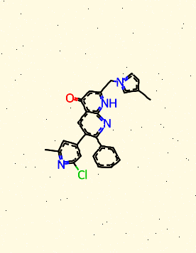 Cc1ccn(Cc2cc(=O)c3cc(-c4cc(C)nc(Cl)c4)c(-c4ccccc4)nc3[nH]2)c1